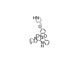 Cn1c(C(=O)Nc2ccccc2COc2ccc(OCC3CCNCC3)cc2)cc2sccc21